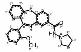 COc1ccccc1C1=Nc2cc(C(=O)NN3CCCC3)ccc2Sc2ccccc21